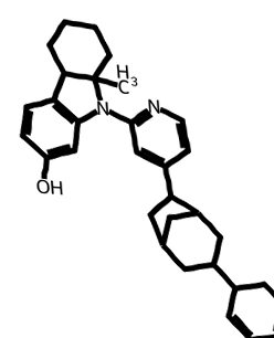 CC12CCCCC1c1ccc(O)cc1N2c1cc(C2CC3CC(C4C=CC=CC4)CC2C3)ccn1